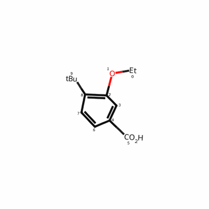 CCOc1cc(C(=O)O)ccc1C(C)(C)C